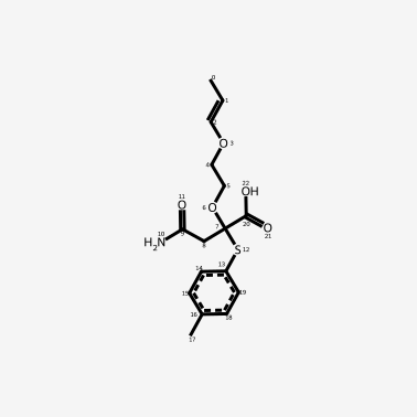 C/C=C/OCCOC(CC(N)=O)(Sc1ccc(C)cc1)C(=O)O